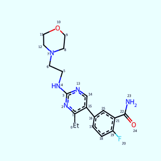 CCc1nc(NCCN2CCOCC2)ncc1-c1ccc(F)c(C(N)=O)c1